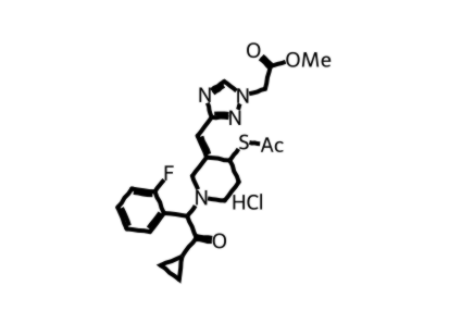 COC(=O)Cn1cnc(/C=C2/CN(C(C(=O)C3CC3)c3ccccc3F)CCC2SC(C)=O)n1.Cl